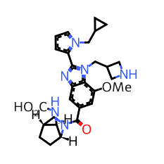 COc1cc(C(=O)N2C[C@H]3CC[C@@H]2[C@@H]3NC(=O)O)cc2nc(-c3cccn3CC3CC3)n(CC3CNC3)c12